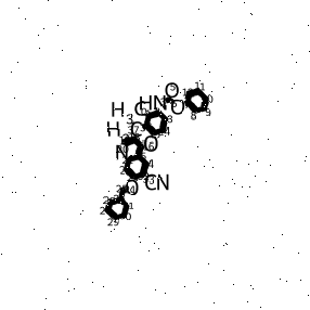 Cc1c(NC(=O)Oc2ccccc2)ccc(Oc2ccnc3cc(OCc4ccccc4)c(C#N)cc23)c1C